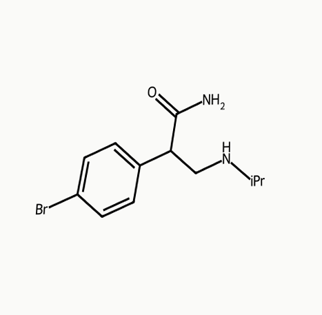 CC(C)NCC(C(N)=O)c1ccc(Br)cc1